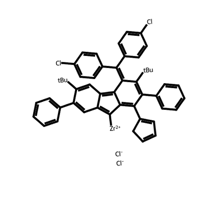 CC(C)(C)c1cc2c(cc1-c1ccccc1)=[C]([Zr+2])c1c(C3=CC=CC3)c(-c3ccccc3)c(C(C)(C)C)c(=C(c3ccc(Cl)cc3)c3ccc(Cl)cc3)c1=2.[Cl-].[Cl-]